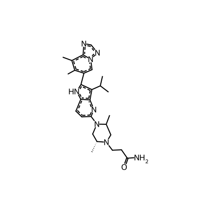 Cc1c(-c2[nH]c3ccc(N4C[C@@H](C)N(CCC(N)=O)CC4C)nc3c2C(C)C)cn2ncnc2c1C